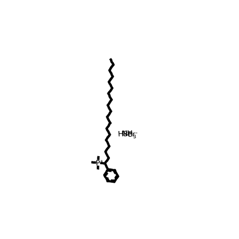 Br.CCCCCCCCCCCCCCCCCCC(c1ccccc1)[P+](C)(C)C.N.[Br-]